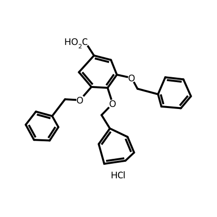 Cl.O=C(O)c1cc(OCc2ccccc2)c(OCc2ccccc2)c(OCc2ccccc2)c1